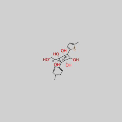 Cc1ccc(C2[C@]3(O)C(O)C(c4ccc(C)s4)[C@]3(O)[C@]2(O)[C@H](O)CO)cc1